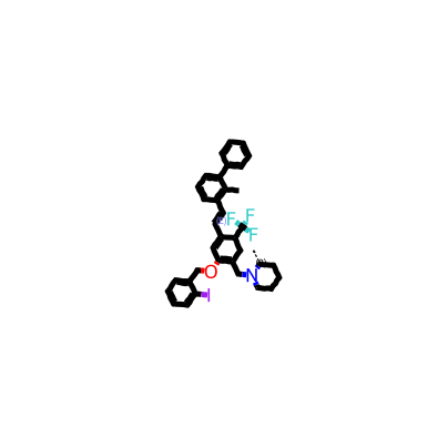 Cc1c(/C=C/C2=CC(OCc3ccccc3I)=C(CN3CCCC[C@H]3C)CC2C(F)(F)F)cccc1-c1ccccc1